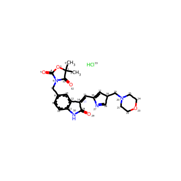 CC1(C)OC(=O)N(Cc2ccc3c(c2)/C(=C/C2=CC(CN4CCOCC4)C=N2)C(=O)N3)C1=O.Cl